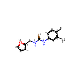 CCc1cc(NC(=S)NCc2ccco2)ccc1C